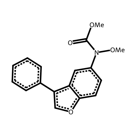 COC(=O)N(OC)c1ccc2occ(-c3ccccc3)c2c1